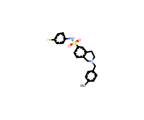 CC(C)(C)c1ccc(CN2CCc3cc(S(=O)(=O)Nc4ccc(F)cc4)ccc3C2)cc1